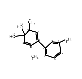 C.Cc1cccc(C2=CC(C)C(O)(O)C=C2)c1